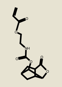 C=CC(=O)OCCNC(=O)OC1C2CC3C(=O)OC1C3C2